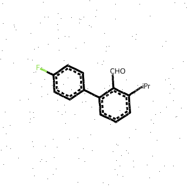 CC(C)c1cccc(-c2ccc(F)cc2)c1C=O